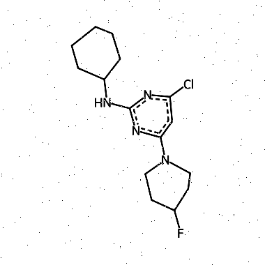 FC1CCN(c2cc(Cl)nc(NC3CCCCC3)n2)CC1